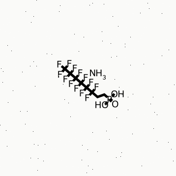 N.O=P(O)(O)CCC(F)(F)C(F)(F)C(F)(F)C(F)(F)C(F)(F)C(F)(F)F